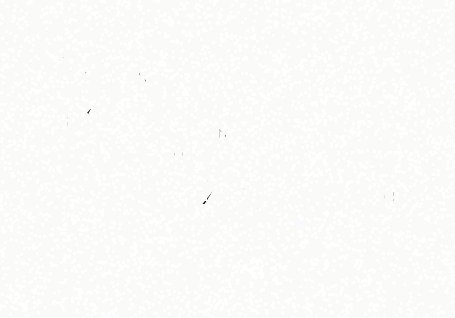 C[C@H]1C(=O)N(CCCN2CCC3(CC3)[C@H](O)C2)CCN1C(=O)/C=C/c1cccc(Cl)c1